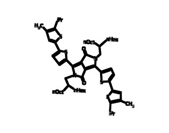 CCCCCCCCC(CCCCCC)CN1C(=O)C2=C(c3ccc(-c4cc(C)c(C(C)C)s4)s3)N(CC(CCCCCC)CCCCCCCC)C(=O)C2=C1c1ccc(-c2cc(C)c(C(C)C)s2)s1